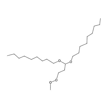 CCCCCCCCCOC(CCOOC)OCCCCCCCCC